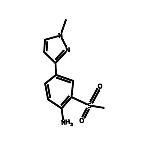 Cn1ccc(-c2ccc(N)c(S(C)(=O)=O)c2)n1